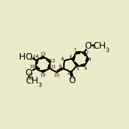 COc1ccc2c(c1)CC(=Cc1ccc(O)c(OC)c1)C2=O